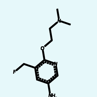 CN(C)CCOc1ncc(N)cc1CF